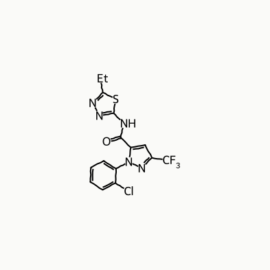 CCc1nnc(NC(=O)c2cc(C(F)(F)F)nn2-c2ccccc2Cl)s1